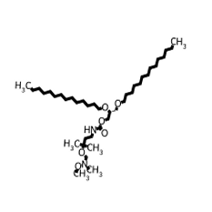 CCCCCCCCCCCCCCOC[C@H](COC(=O)NCCC(C)(C)OCN(C)OC)OCCCCCCCCCCCCCC